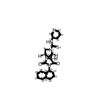 O=C1[C@@H]2[C@@H]3C[C@@H](CN3C(=S)Nc3cccnc3)N2C(=O)N1c1cccc2ccccc12